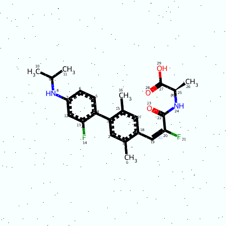 Cc1cc(-c2ccc(NC(C)C)cc2F)c(C)cc1/C=C(/F)C(=O)N[C@H](C)C(=O)O